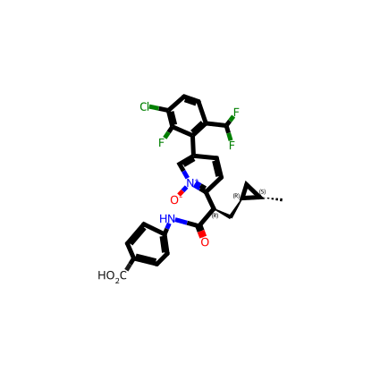 C[C@H]1C[C@@H]1C[C@@H](C(=O)Nc1ccc(C(=O)O)cc1)c1ccc(-c2c(C(F)F)ccc(Cl)c2F)c[n+]1[O-]